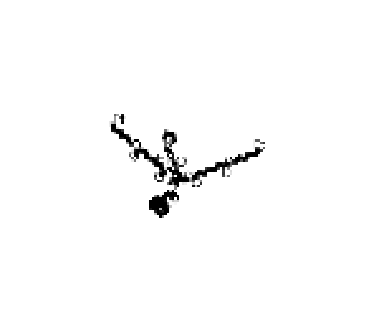 CC/C=C\CCCCOC(=O)CCCCCC(=O)OCC(COC(=O)CCCCCC(=O)OCCCC/C=C\CC)(COC(=O)CC12CC3CC(CC(C3)C1)C2)COC(=O)NCCN1CCCC1